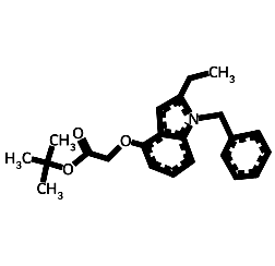 CCc1cc2c(OCC(=O)OC(C)(C)C)cccc2n1Cc1ccccc1